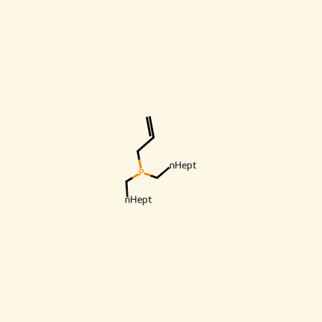 C=CCP(CCCCCCCC)CCCCCCCC